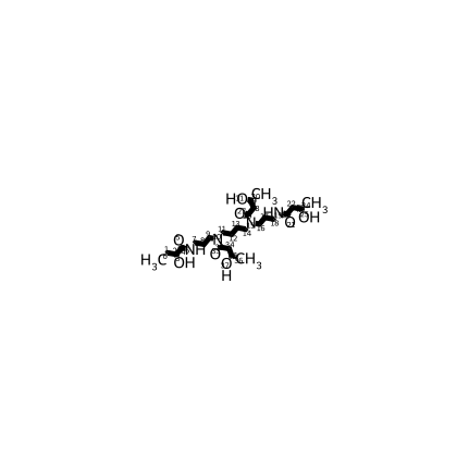 CCC(O)C(=O)NCCCN(CCCCN(CCCNC(=O)C[C@@H](C)O)C(=O)C[C@@H](C)O)C(=O)C[C@@H](C)O